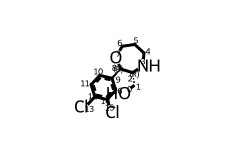 OC[C@H]1NCCCO[C@@H]1c1ccc(Cl)c(Cl)c1